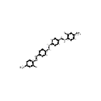 Cc1cc(N)ccc1N=Nc1ccc(/N=N/c2ccc(N=Nc3ccc(N)cc3C)cc2)cc1